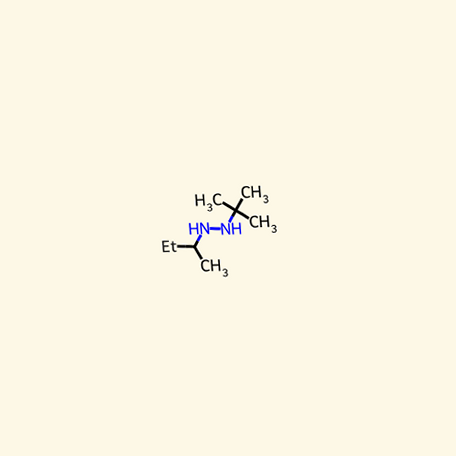 CCC(C)NNC(C)(C)C